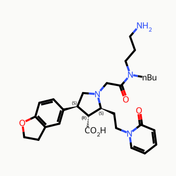 CCCCN(CCCN)C(=O)CN1C[C@H](c2ccc3c(c2)CCO3)[C@@H](C(=O)O)[C@@H]1CCn1ccccc1=O